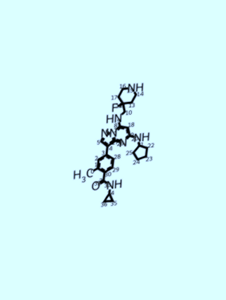 Cc1cc(-c2cnn3c(NCC4(F)CCNCC4)cc(NC4CCCC4)nc23)ccc1C(=O)NC1CC1